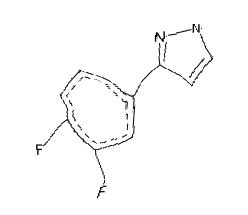 Fc1ccc(C2=N[N]C=C2)cc1F